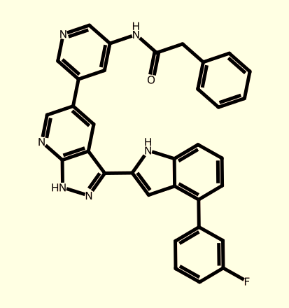 O=C(Cc1ccccc1)Nc1cncc(-c2cnc3[nH]nc(-c4cc5c(-c6cccc(F)c6)cccc5[nH]4)c3c2)c1